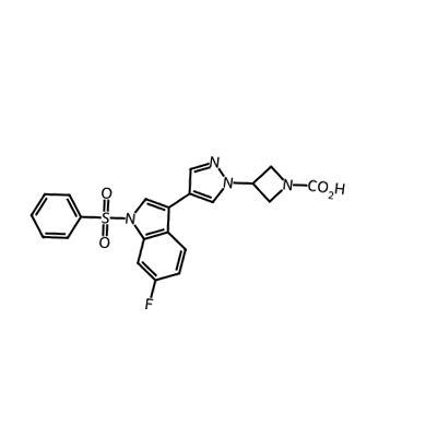 O=C(O)N1CC(n2cc(-c3cn(S(=O)(=O)c4ccccc4)c4cc(F)ccc34)cn2)C1